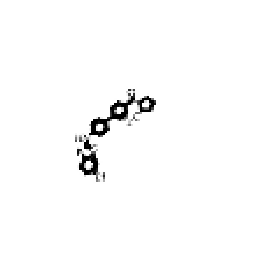 O=C(O)[C@@H]1CCC[C@H]1C(=O)c1ccc(-c2ccc(Nc3nc4ccc(Cl)cc4s3)cc2)cc1